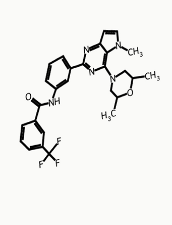 CC1CN(c2nc(-c3cccc(NC(=O)c4cccc(C(F)(F)F)c4)c3)nc3ccn(C)c23)CC(C)O1